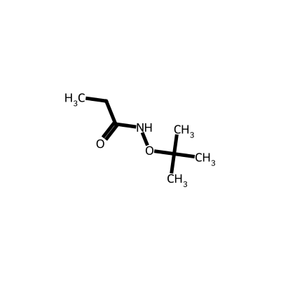 CCC(=O)NOC(C)(C)C